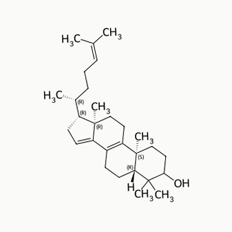 CC(C)=CCC[C@@H](C)[C@H]1CC=C2C3=C(CC[C@@]21C)[C@@]1(C)CCC(O)C(C)(C)[C@@H]1CC3